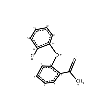 CC(=O)c1ccccc1Oc1ccccc1Cl